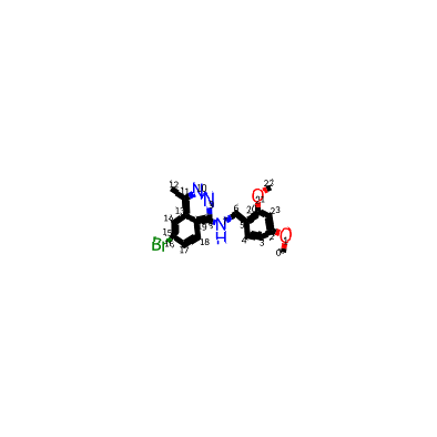 COc1ccc(CNc2nnc(C)c3cc(Br)ccc23)c(OC)c1